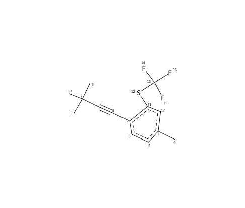 Cc1ccc(C#CC(C)(C)C)c(SC(F)(F)F)c1